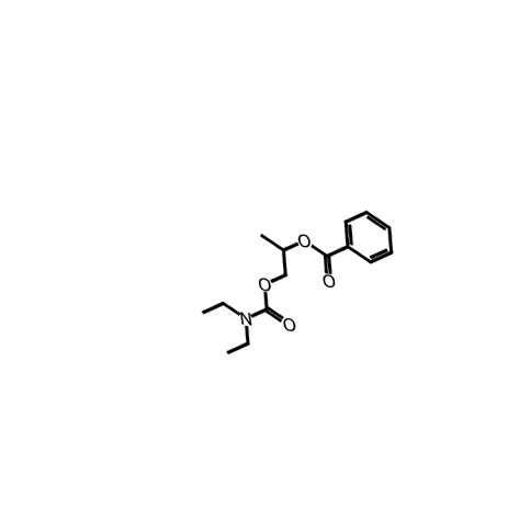 CCN(CC)C(=O)OCC(C)OC(=O)c1ccccc1